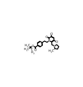 C[C@H]1CCCN1Cc1c(Cl)cc(Cl)c(=O)n1CCc1ccc(C(=O)OC(C)(C)C)cc1